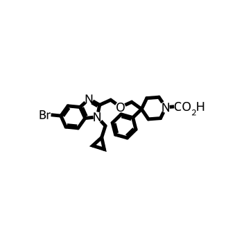 O=C(O)N1CCC(COCc2nc3cc(Br)ccc3n2CC2CC2)(c2ccccc2)CC1